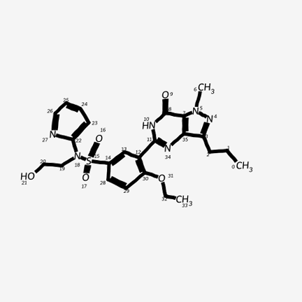 CCCc1nn(C)c2c(=O)[nH]c(-c3cc(S(=O)(=O)N(CCO)c4ccccn4)ccc3OCC)nc12